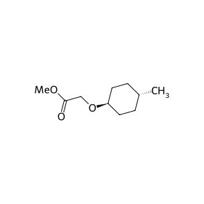 COC(=O)CO[C@H]1CC[C@H](C)CC1